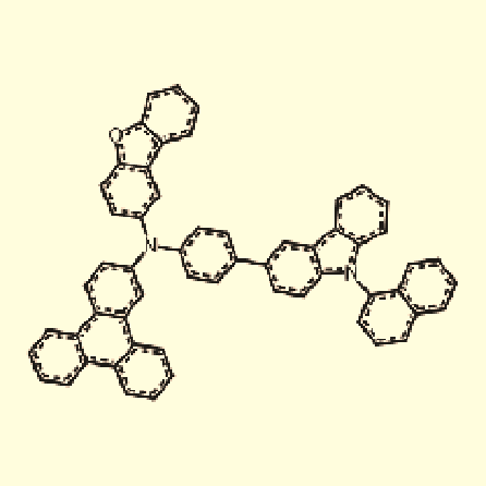 c1ccc2c(-n3c4ccccc4c4cc(-c5ccc(N(c6ccc7oc8ccccc8c7c6)c6ccc7c8ccccc8c8ccccc8c7c6)cc5)ccc43)cccc2c1